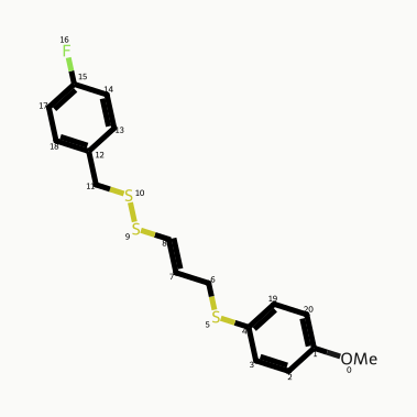 COc1ccc(SC/C=C/SSCc2ccc(F)cc2)cc1